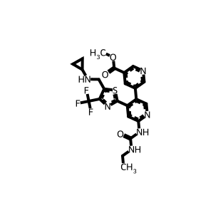 CCNC(=O)Nc1cc(-c2nc(C(F)(F)F)c(CNC3CC3)s2)c(-c2cncc(C(=O)OC)c2)cn1